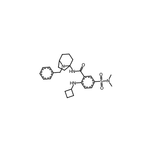 CN(C)S(=O)(=O)c1ccc(NC2CCC2)c(C(=O)NC23CCCC(CC2)N3Cc2ccccc2)c1